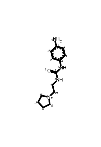 Nc1ccc(NC(=O)NCCN2CCCC2)cc1